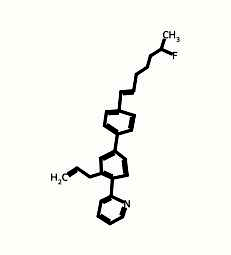 C=CCc1cc(-c2ccc(C=CCCCC(C)F)cc2)ccc1-c1ccccn1